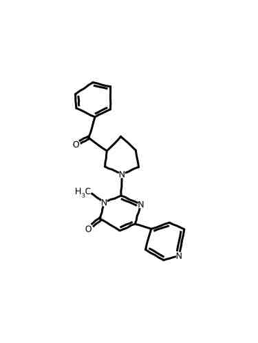 Cn1c(N2CCCC(C(=O)c3ccccc3)C2)nc(-c2ccncc2)cc1=O